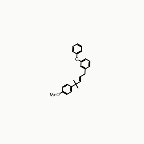 COc1ccc(C(C)(C)/C=C/Cc2cccc(Oc3ccccc3)c2)cc1